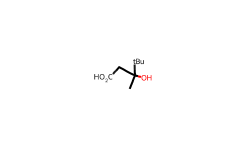 CC(C)(C)C(C)(O)CC(=O)O